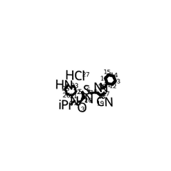 CC(C)N(C(=O)c1csc(-c2nn(-c3ccccc3)cc2C#N)n1)C1CCNCC1.Cl